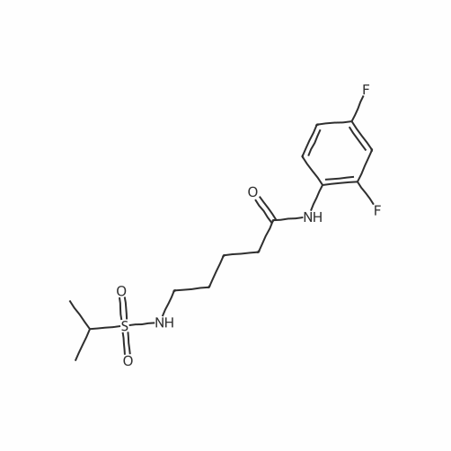 CC(C)S(=O)(=O)NCCCCC(=O)Nc1ccc(F)cc1F